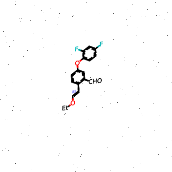 CCO/C=C/c1ccc(Oc2ccc(F)cc2F)cc1C=O